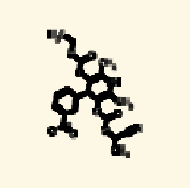 CCOC(=O)OC1=C(C)NC(C)=C(OC(=O)OC(C)C#N)C1c1cccc([N+](=O)[O-])c1